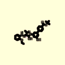 CCOc1ccccc1N/N=C1\C(C)=NN(c2cc(O)cc(-c3ccc(C(=O)OC(C)(C)C)cc3)c2)C1O